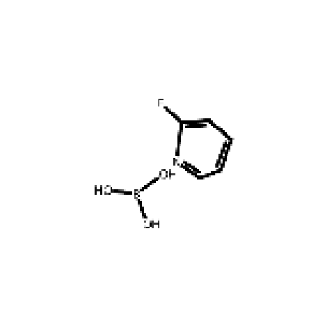 Fc1ccccn1.OB(O)O